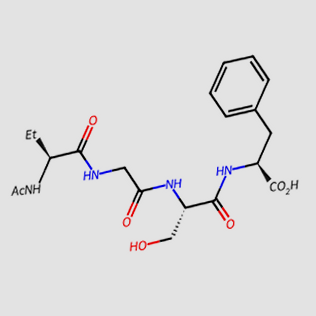 CC[C@H](NC(C)=O)C(=O)NCC(=O)N[C@@H](CO)C(=O)N[C@@H](Cc1ccccc1)C(=O)O